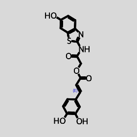 O=C(COC(=O)/C=C/c1ccc(O)c(O)c1)Nc1nc2ccc(O)cc2s1